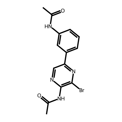 CC(=O)Nc1cccc(-c2cnc(NC(C)=O)c(Br)n2)c1